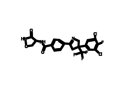 O=C(NC1CONC1=O)c1ccc(C2=NCC(c3cc(Cl)c(F)c(Cl)c3)(C(F)(F)F)C2)cc1